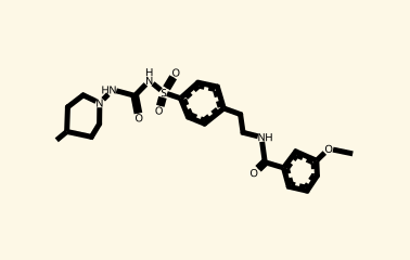 COc1cccc(C(=O)NCCc2ccc(S(=O)(=O)NC(=O)NN3CCC(C)CC3)cc2)c1